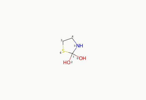 OC1(O)NCCS1